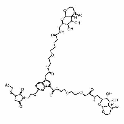 CC(=O)CSC1CC(=O)N(CCOc2ccc3c(c2)c(C(=O)OCCOCCOCC(=O)NCC2OC4OCCN(C(C)=O)[C@@H]4[C@@H](O)[C@H]2O)cn3CC(=O)OCCOCCOCC(=O)NCC2OC3OCCN(C(C)=O)[C@@H]3[C@@H](O)[C@H]2O)C1=O